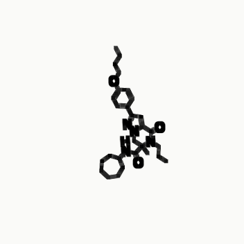 CCCCOc1ccc(-c2cc3n(n2)CC(C)(C(=O)NC2CCCCCC2)N(CCC)C3=O)cc1